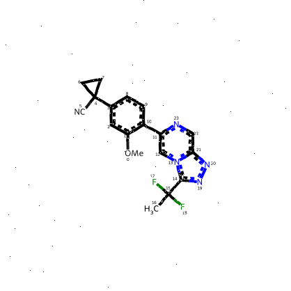 COc1cc(C2(C#N)CC2)ccc1-c1cn2c(C(C)(F)F)nnc2cn1